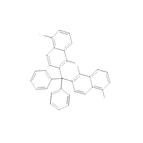 Oc1cccc2c3c(ccc12)C(c1ccccc1)(c1ccccc1)c1ccc2c(O)cccc2c1O3